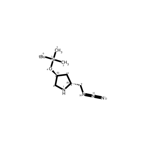 CC(C)(C)[Si](C)(C)O[C@@H]1CN[C@@H](CN=[N+]=[N-])C1